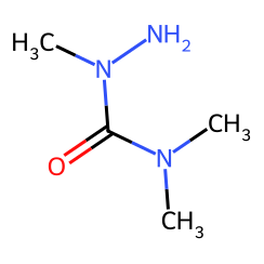 CN(C)C(=O)N(C)N